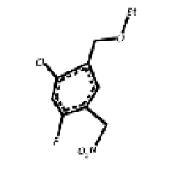 CCOCc1cc(C[N+](=O)[O-])c(F)cc1Cl